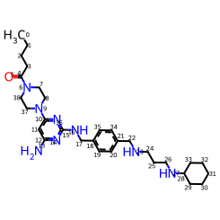 CCCCC(=O)N1CCN(c2cc(N)nc(NCc3ccc(CNCCCNC4CCCCC4)cc3)n2)CC1